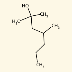 CCCC(C)CC(C)(C)O